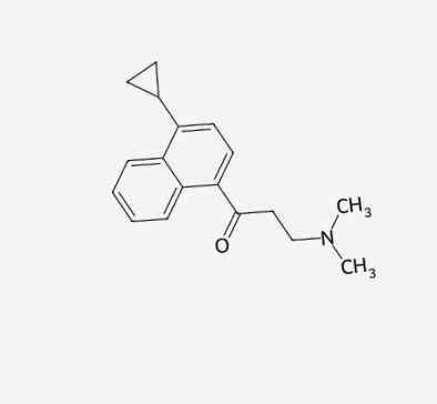 CN(C)CCC(=O)c1ccc(C2CC2)c2ccccc12